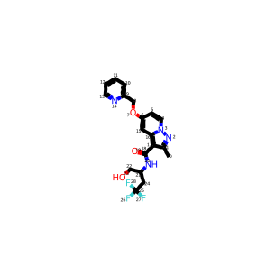 Cc1nn2ccc(OCc3ccccn3)cc2c1C(=O)NC(CO)CC(F)(F)F